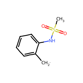 [CH2]c1ccccc1NS(C)(=O)=O